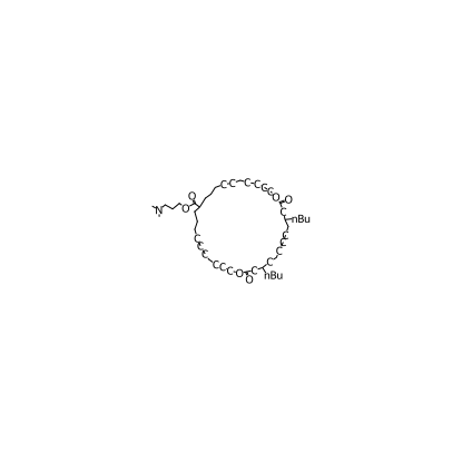 CCCCC1CCCCCCC(CCCC)CC(=O)OCCCCCCCCCCC(C(=O)OCCCN(C)C)CCCCCCCCCCOC(=O)C1